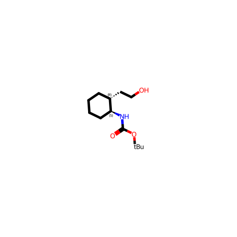 CC(C)(C)OC(=O)N[C@H]1CCCC[C@@H]1CCO